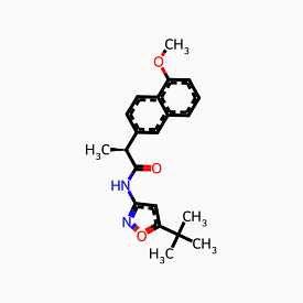 COc1cccc2cc([C@H](C)C(=O)Nc3cc(C(C)(C)C)on3)ccc12